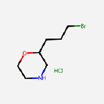 BrCCCC1CNCCO1.Cl